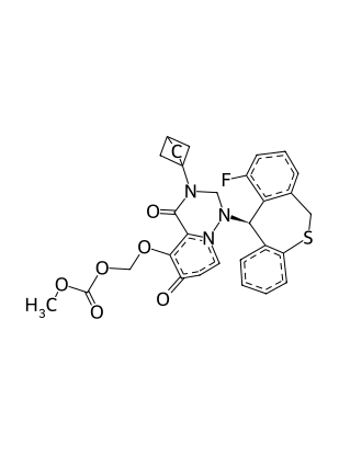 COC(=O)OCOc1c2n(ccc1=O)N([C@@H]1c3ccccc3SCc3cccc(F)c31)CN(C13CC(C1)C3)C2=O